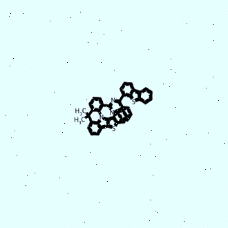 CC1(C)c2cccc(-c3nc(-c4cccc5c4sc4ccccc45)c4ccccc4n3)c2-n2c3c1cccc3c1sc3ccccc3c12